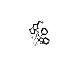 CC(C)(C)[Si](OC[C@@]12CCCN1C/C(=C/F)C2)(c1ccccc1)c1ccccc1